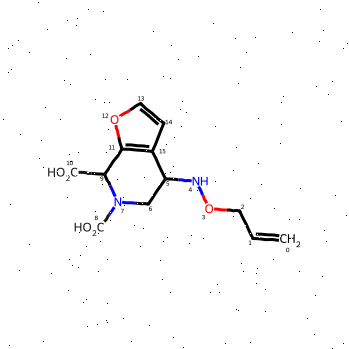 C=CCONC1CN(C(=O)O)C(C(=O)O)c2occc21